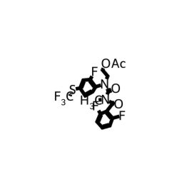 CC(=O)OCCN(C(=O)N(C)C(=O)c1c(F)cccc1F)c1ccc(SC(F)(F)F)cc1F